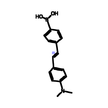 CN(C)c1ccc(/C=C/c2ccc(B(O)O)cc2)cc1